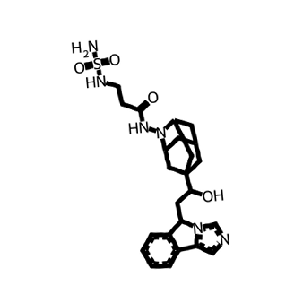 NS(=O)(=O)NCCC(=O)NN1C2CC3CC1CC(C(O)CC1c4ccccc4-c4cncn41)(C3)C2